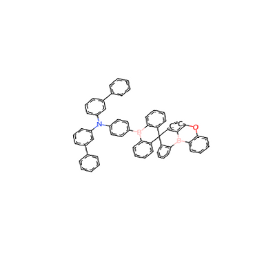 c1ccc(-c2cccc(N(c3ccc(B4c5ccccc5C5(c6ccccc64)c4ccccc4B4c6ccccc6Oc6cccc5c64)cc3)c3cccc(-c4ccccc4)c3)c2)cc1